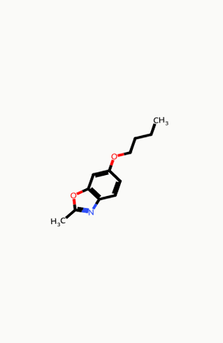 CCCCOc1ccc2nc(C)oc2c1